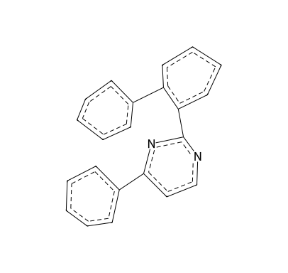 c1ccc(-c2ccnc(-c3ccccc3-c3ccccc3)n2)cc1